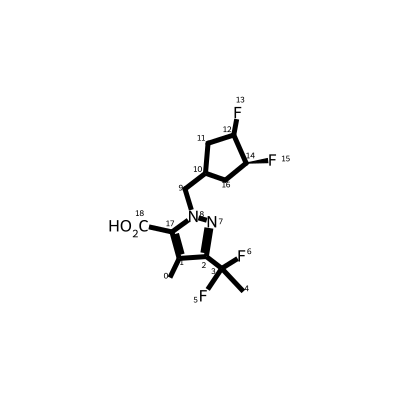 Cc1c(C(C)(F)F)nn(CC2CC(F)[C@@H](F)C2)c1C(=O)O